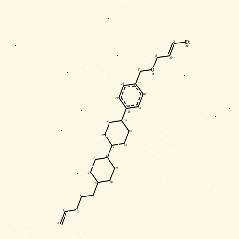 C=CCCCC1CCC(C2CCC(c3ccc(COCC=CCC)cc3)CC2)CC1